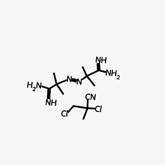 CC(C)(N=NC(C)(C)C(=N)N)C(=N)N.CC(Cl)(C#N)CCl